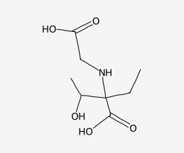 CCC(NCC(=O)O)(C(=O)O)C(C)O